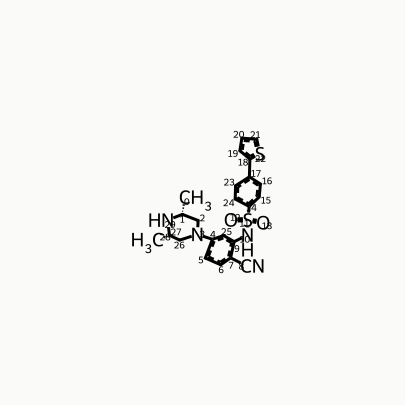 C[C@@H]1CN(c2ccc(C#N)c(NS(=O)(=O)c3ccc(-c4cccs4)cc3)c2)C[C@H](C)N1